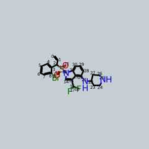 C=CC(c1ccccc1Br)S(=O)(=O)n1cc(C(F)F)c2c(NC3CCNCC3)cccc21